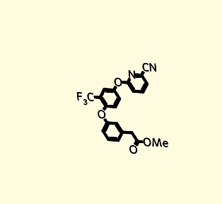 COC(=O)Cc1cccc(Oc2ccc(Oc3cccc(C#N)n3)cc2C(F)(F)F)c1